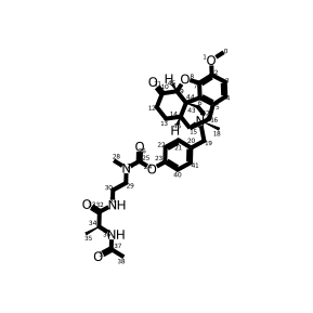 COc1ccc2c3c1O[C@H]1C(=O)CC[C@H]4C(C2)[N@@+](C)(Cc2ccc(OC(=O)N(C)CCNC(=O)[C@H](C)NC(C)=O)cc2)CC[C@]314